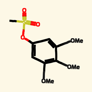 COc1cc(OS(C)(=O)=O)cc(OC)c1OC